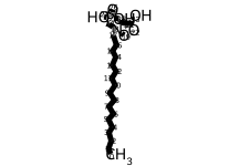 CCCCCCCCCCCCCCCCCC[N+]([O-])(CC(=O)O)CP(=O)(O)O